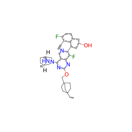 C#Cc1c(F)ccc2cc(O)cc(-c3ncc4c(N5C[C@H]6CC[C@@H](C5)N6)nc(OCC56CCC(C=C)(CC5)CC6)nc4c3F)c12